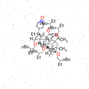 C=C(OCC(CC)CCCC)C(C)(C)CC(C)(CC(C)(CC(C)(CC(C)(CC(CC)c1cc[n+]([O-])cc1)C(=C)OCC(CC)CCCC)C(=C)OCC(CC)CCCC)C(=C)OCC(CC)CCCC)C(=C)OCC(CC)CCCC